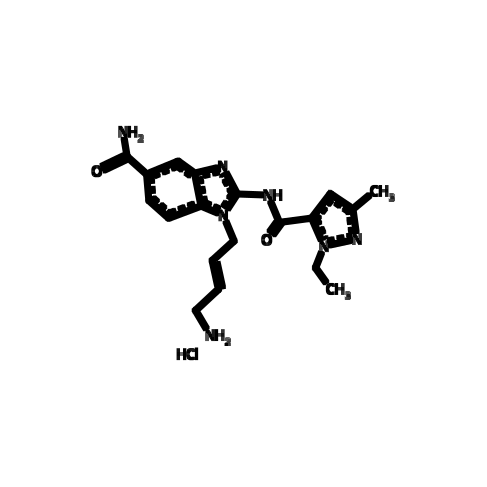 CCn1nc(C)cc1C(=O)Nc1nc2cc(C(N)=O)ccc2n1CC=CCN.Cl